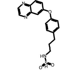 O=[SH](=O)NCCCc1ccc(Oc2ccc3nccnc3c2)cc1